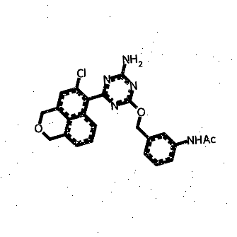 CC(=O)Nc1cccc(COc2nc(N)nc(-c3c(Cl)cc4c5c(cccc35)COC4)n2)c1